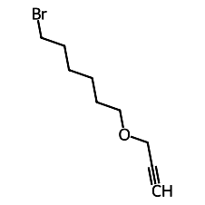 C#CCOCCCCCCBr